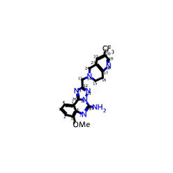 COc1cccc2c1nc(N)n1nc(CN3CCc4ncc(C(F)(F)F)cc4C3)nc21